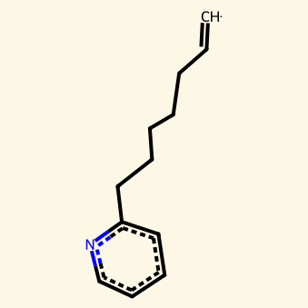 [CH]=CCCCCCc1ccccn1